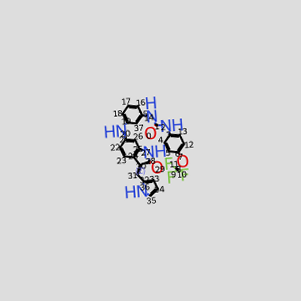 O=C(Nc1ccc(OC(F)(F)F)cc1)Nc1cccc(Nc2ccc3c(c2)NC(=O)/C3=C\c2ccc[nH]2)c1